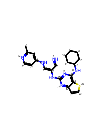 Cc1cc(N/C=C(\C=N)Nc2nc(NC3CCCCC3)c3sccc3n2)ccn1